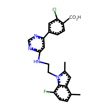 Cc1ccc(F)c2c1cc(C)n2CCNc1cc(-c2ccc(C(=O)O)c(Cl)c2)ncn1